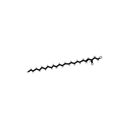 CCCCCCCCCCCCCCCCCCCCC=CC(=O)CCCl